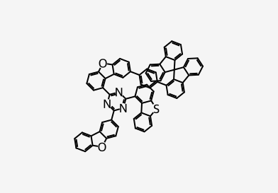 c1ccc2c(c1)-c1ccccc1C21c2ccccc2-c2cccc(-c3ccc(-c4ccc5oc6cccc(-c7nc(-c8ccc9oc%10ccccc%10c9c8)nc(-c8cccc9sc%10ccccc%10c89)n7)c6c5c4)cc3)c21